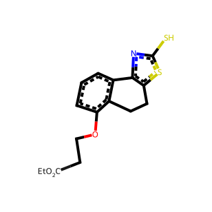 CCOC(=O)CCOc1cccc2c1CCc1sc(S)nc1-2